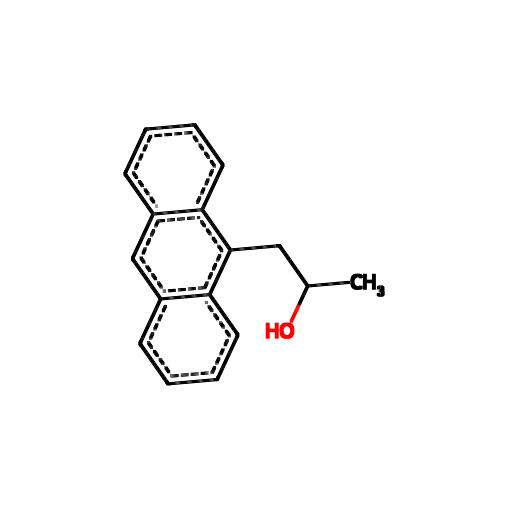 CC(O)Cc1c2ccccc2cc2ccccc12